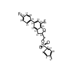 Cc1ccc(S(=O)(=O)OCC2Cc3cc(-c4ccc(F)cc4)cc(F)c3O2)cc1